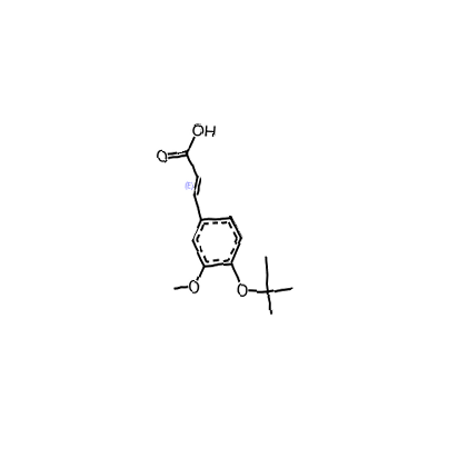 COc1cc(/C=C/C(=O)O)ccc1OC(C)(C)C